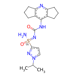 CC(C)n1ccc([S@@](N)(=O)=NC(=O)Nc2c3c(nc4c2CCC4)CCC3)n1